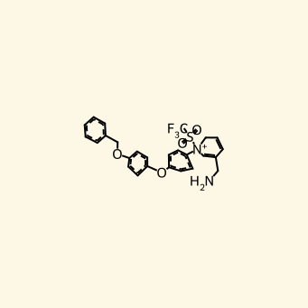 NCC1=C[N+](c2ccc(Oc3ccc(OCc4ccccc4)cc3)cc2)(S(=O)(=O)C(F)(F)F)CC=C1